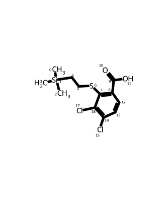 C[Si](C)(C)CCSc1c(C(=O)O)ccc(Cl)c1Cl